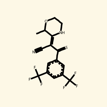 CC1OCCNC1=C(C#N)C(=S)c1cc(C(F)(F)F)cc(C(F)(F)F)c1